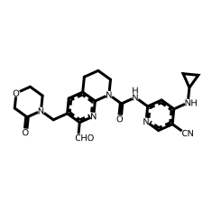 N#Cc1cnc(NC(=O)N2CCCc3cc(CN4CCOCC4=O)c(C=O)nc32)cc1NC1CC1